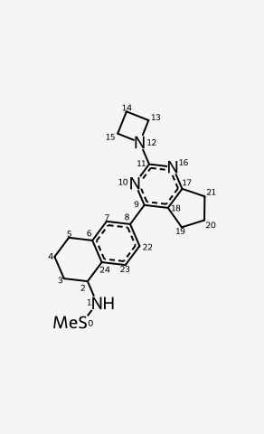 CSNC1CCCc2cc(-c3nc(N4CCC4)nc4c3CCC4)ccc21